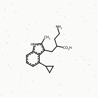 Cc1[nH]c2cccc(C3CC3)c2c1CC(CCN)C(=O)O